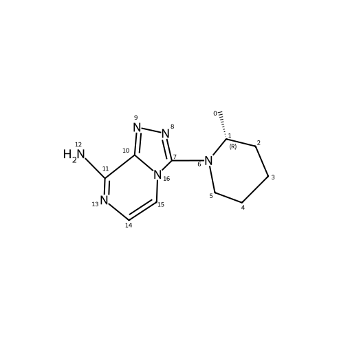 C[C@@H]1CCCCN1c1nnc2c(N)nccn12